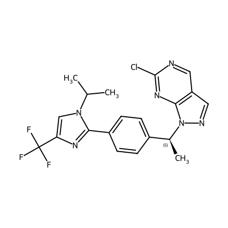 CC(C)n1cc(C(F)(F)F)nc1-c1ccc([C@H](C)n2ncc3cnc(Cl)nc32)cc1